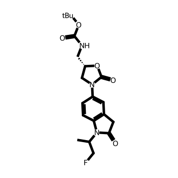 CC(CF)N1C(=O)Cc2cc(N3C[C@H](CNC(=O)OC(C)(C)C)OC3=O)ccc21